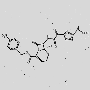 O=CNc1nc(C(=O)C(=O)NC2C(=O)N3C(C(=O)OCc4ccc([N+](=O)[O-])cc4)=CCS[C@H]23)cs1